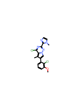 COc1cccc(-c2cn3nc(-c4nccn4C)nc(Cl)c3c2C)c1Cl